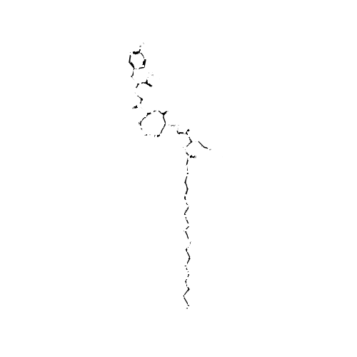 NC(=O)[C@H](Cc1ccc(O)cc1)NCC(=O)[C@@H]1CSSC[C@H](NCC(=O)[C@H](CCC(=O)O)NC(=O)CCCCCCCCCCCCCCCCCCC(=O)O)C(=O)C1